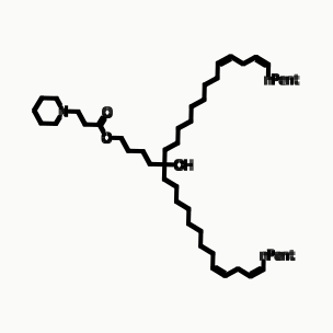 CCCCC/C=C\C/C=C\CCCCCCCCC(O)(CCCCCCCC/C=C\C/C=C\CCCCC)CCCCOC(=O)CCN1CCCCC1